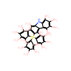 Bc1c(B)c(B)c(S(c2c(B)c(B)c(B)c(B)c2B)(c2c(B)c(B)c(B)c(B)c2B)c2c(B)c(B)c3[nH]c4c(B)c(B)c(B)c(B)c4c3c2B)c(B)c1B